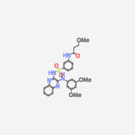 COCCC(=O)Nc1cccc(S(=O)(=O)Nc2nc3ccccc3nc2Nc2cc(OC)cc(OC)c2)c1